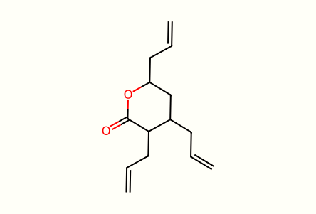 C=CCC1CC(CC=C)C(CC=C)C(=O)O1